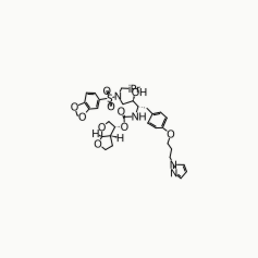 CC(C)CN(C[C@@H](O)[C@H](Cc1ccc(OCCCn2cccn2)cc1)NC(=O)O[C@H]1CO[C@H]2OCC[C@H]21)S(=O)(=O)c1ccc2c(c1)OCO2